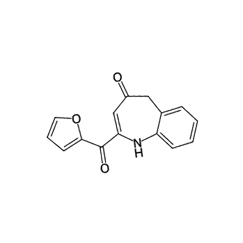 O=C1C=C(C(=O)c2ccco2)Nc2ccccc2C1